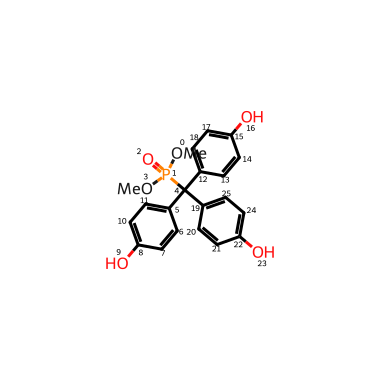 COP(=O)(OC)C(c1ccc(O)cc1)(c1ccc(O)cc1)c1ccc(O)cc1